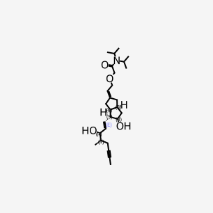 CC#CC[C@@H](C)[C@@H](O)/C=C/[C@@H]1[C@H]2CC(=CCOCC(=O)N(C(C)C)C(C)C)C[C@H]2C[C@H]1O